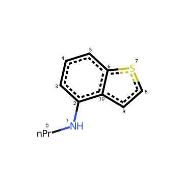 CCCNc1cccc2sccc12